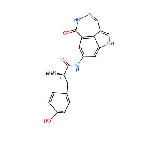 CN[C@H](Cc1ccc(O)cc1)C(=O)Nc1cc2c3c(c[nH]c3c1)C=NNC2=O